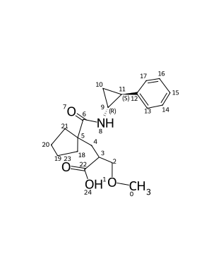 COCC(CC1(C(=O)N[C@@H]2C[C@H]2c2ccccc2)CCCC1)C(=O)O